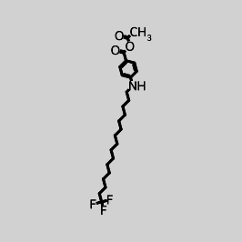 CC(=O)OC(=O)c1ccc(NCCCCCCCCCCCCCCCC(F)(F)F)cc1